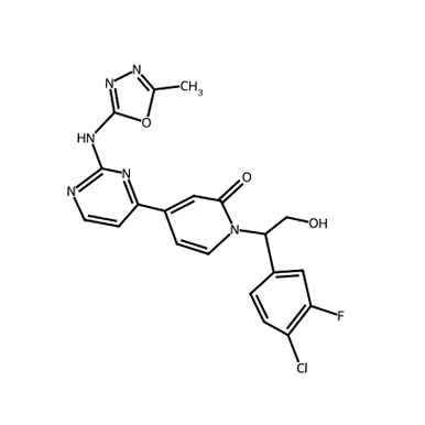 Cc1nnc(Nc2nccc(-c3ccn(C(CO)c4ccc(Cl)c(F)c4)c(=O)c3)n2)o1